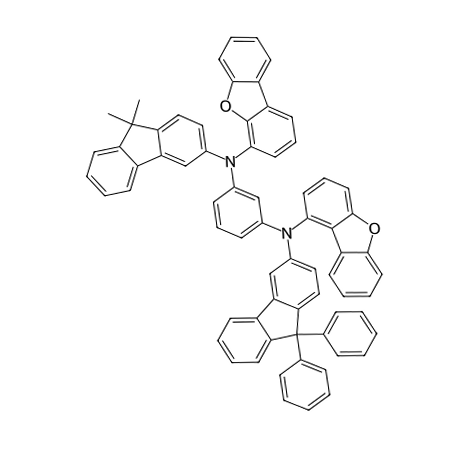 CC1(C)c2ccccc2-c2cc(N(c3cccc(N(c4ccc5c(c4)-c4ccccc4C5(c4ccccc4)c4ccccc4)c4cccc5oc6ccccc6c45)c3)c3cccc4c3oc3ccccc34)ccc21